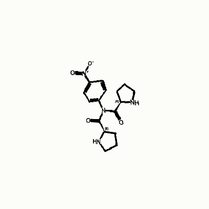 O=C([C@H]1CCCN1)N(C(=O)[C@H]1CCCN1)c1ccc([N+](=O)[O-])cc1